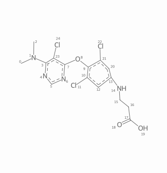 CN(C)c1ncnc(Oc2c(Cl)cc(NCCC(=O)O)cc2Cl)c1Cl